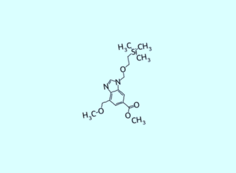 COCc1cc(C(=O)OC)cc2c1ncn2COCC[Si](C)(C)C